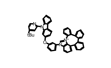 CC(C)(C)c1ccnc(-n2c3ccccc3c3ccc(Oc4cccc(-n5c[n+]6c7c(cccc75)-c5ccccc5-c5ccccc5-c5ccccc5-6)c4)cc32)c1